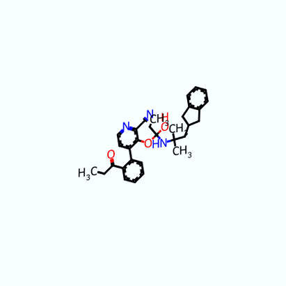 CCC(=O)c1ccccc1-c1ccnc(C#N)c1OC(O)(CC)NC(C)(C)CC1Cc2ccccc2C1